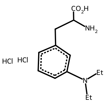 CCN(CC)c1cccc(CC(N)C(=O)O)c1.Cl.Cl